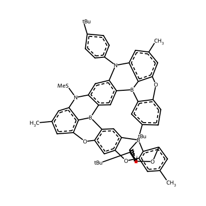 CSN1c2cc3c(cc2B2c4cc5c(cc4Oc4cc(C)cc1c42)Oc1cc(C)cc2c1B5c1cc(C(C)(C)C)ccc1O2)B1c2cc(C(C)(C)C)ccc2Oc2cc(C)cc(c21)N3c1ccc(C(C)(C)C)cc1